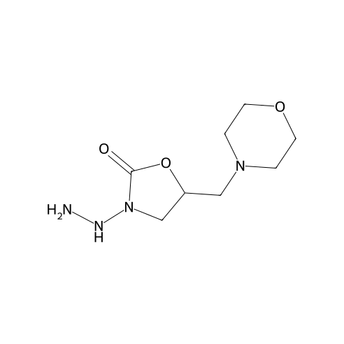 NNN1CC(CN2CCOCC2)OC1=O